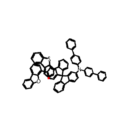 c1ccc(-c2ccc(N(c3ccc(-c4ccccc4)cc3)c3ccc4c(c3)C(c3ccc(-c5cccc6c5oc5ccccc56)cc3)(c3ccccc3-c3cccc5c3sc3ccccc35)c3ccccc3-4)cc2)cc1